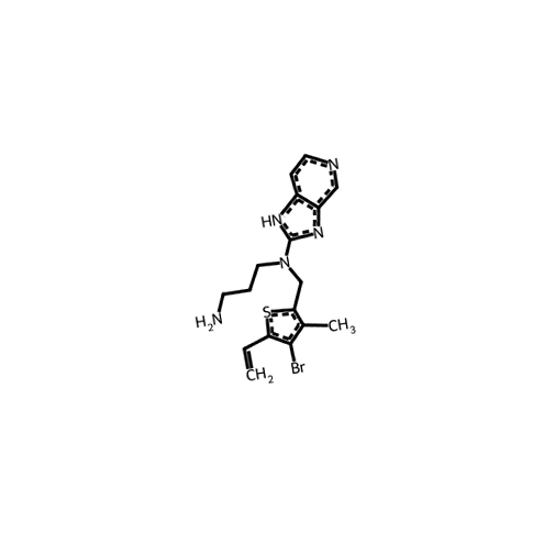 C=Cc1sc(CN(CCCN)c2nc3cnccc3[nH]2)c(C)c1Br